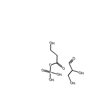 O=C(CCO)OP(=O)(O)O.O=CC(O)CO